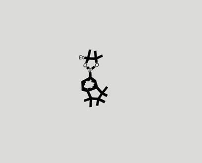 CCC1(C)OB(c2ccc3c(c2)C(C)(C)C(C)(C)C3(C)C)OC1(C)C